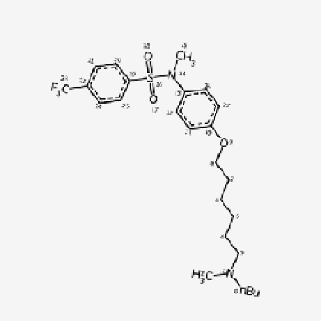 CCCCN(C)CCCCCCOc1ccc(N(C)S(=O)(=O)c2ccc(C(F)(F)F)cc2)cc1